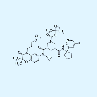 COCCCN1C(=O)C(C)(C)Oc2ccc(N(C(=O)[C@@H]3C[C@H](C(=O)NC4(c5cncc(F)c5)CCCC4)CN(C(=O)OC(C)(C)C)C3)C3CC3)cc21